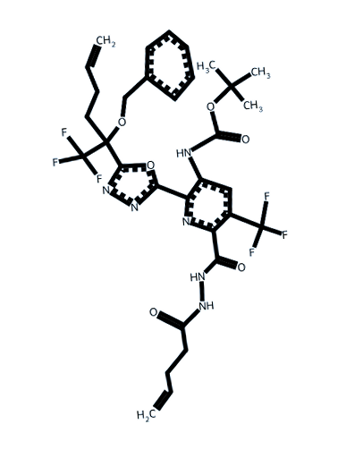 C=CCCC(=O)NNC(=O)c1nc(-c2nnc(C(CCC=C)(OCc3ccccc3)C(F)(F)F)o2)c(NC(=O)OC(C)(C)C)cc1C(F)(F)F